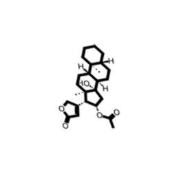 CC(=O)O[C@H]1C[C@]2(O)[C@@H]3CC[C@H]4C[CH]CC[C@]4(C)[C@H]3CC[C@]2(C)[C@H]1C1=CC(=O)OC1